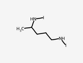 CC(CCCNI)NI